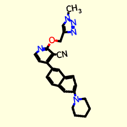 Cn1cc(COc2nccc(-c3ccc4cc(N5CCCCC5)ccc4c3)c2C#N)nn1